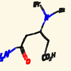 CCN(C(C)C)C(CC(N)=O)CC(=O)O